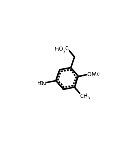 COc1c(C)cc(C(C)(C)C)cc1CC(=O)O